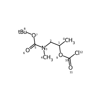 CC(CN(C)C(=O)OC(C)(C)C)OC(=O)Cl